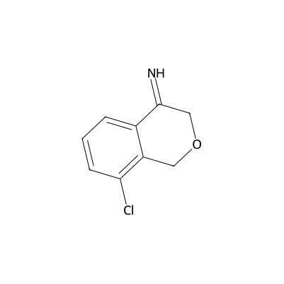 N=C1COCc2c(Cl)cccc21